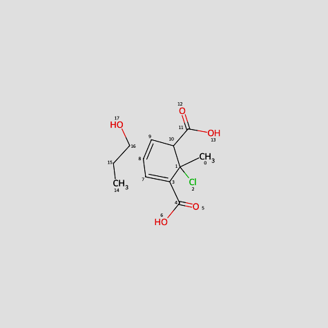 CC1(Cl)C(C(=O)O)=CC=CC1C(=O)O.CCCO